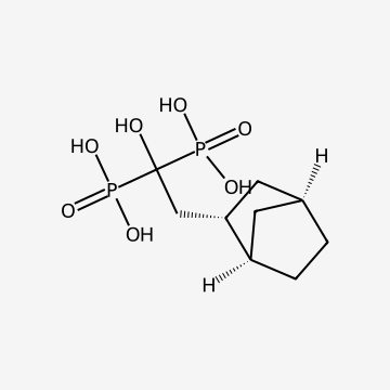 O=P(O)(O)C(O)(C[C@@H]1C[C@H]2CC[C@@H]1C2)P(=O)(O)O